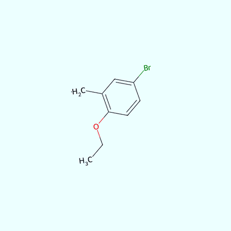 [CH2]c1cc(Br)ccc1OCC